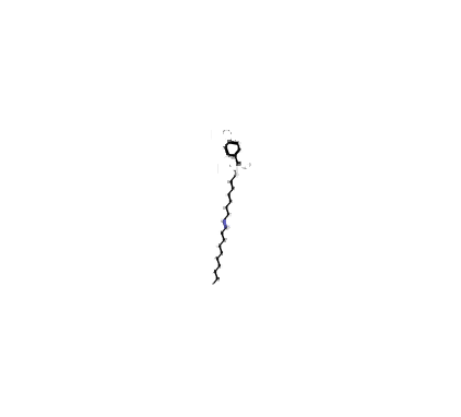 CCCCCCCCC/C=C/CCCCCCCNC(=O)c1ccc(O)cc1